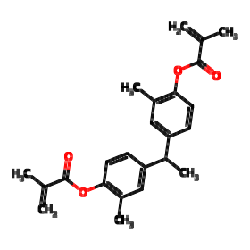 C=C(C)C(=O)Oc1ccc(C(C)c2ccc(OC(=O)C(=C)C)c(C)c2)cc1C